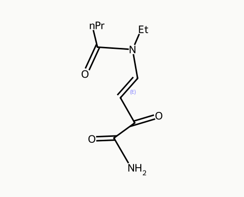 CCCC(=O)N(/C=C/C(=O)C(N)=O)CC